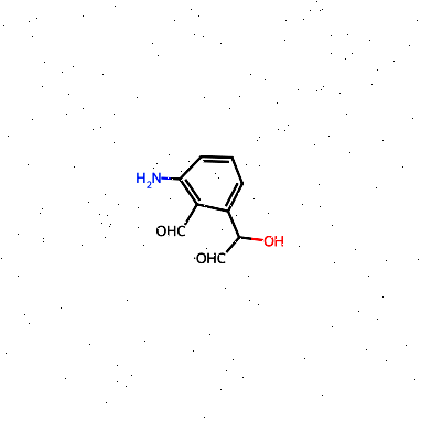 Nc1cccc(C(O)[C]=O)c1C=O